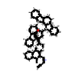 C#C/C=C\c1c(C)c2ccccc2c2nc(-c3cccc(-n4c5ccccc5c5ccc6c7ccccc7n(-c7ccc8c(c7)C(C)(C)c7ccccc7-8)c6c54)c3)cnc12